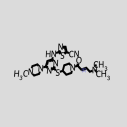 CN(C)C/C=C/C(=O)N1CCC(Sc2nc(Nc3ncc(C#N)s3)cc(N3CCN(C)CC3)n2)CC1